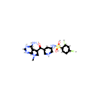 Cn1cc(C(=O)c2cncc(NS(=O)(=O)c3ccc(F)cc3F)c2)c2c(N)ncnc21